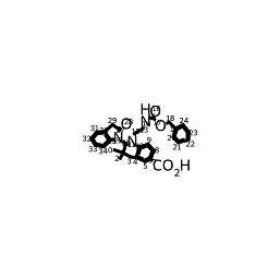 CC1(C)Cc2cc(C(=O)O)ccc2N(CCNC(=O)OCc2ccccc2)C1N1C(=O)Cc2ccccc21